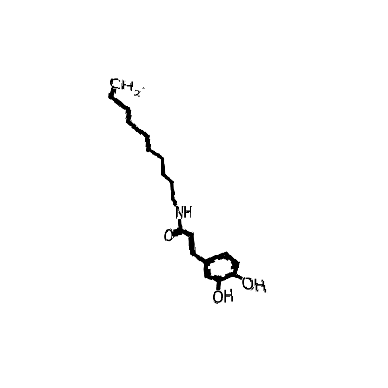 [CH2]CCCCCCCCCNC(=O)/C=C/c1ccc(O)c(O)c1